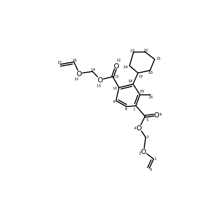 C=COCOC(=O)c1ccc(C(=O)OCOC=C)c(C2CCCCC2)c1C